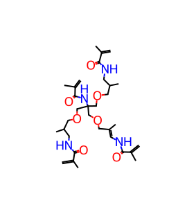 C=C(C)C(=O)N/C=C(\C)COCC(COCC(C)CNC(=O)C(=C)C)(COCC(C)CNC(=O)C(=C)C)NC(=O)C(=C)C